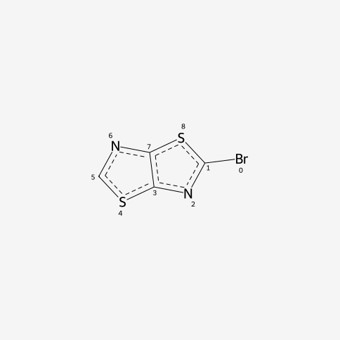 Brc1nc2scnc2s1